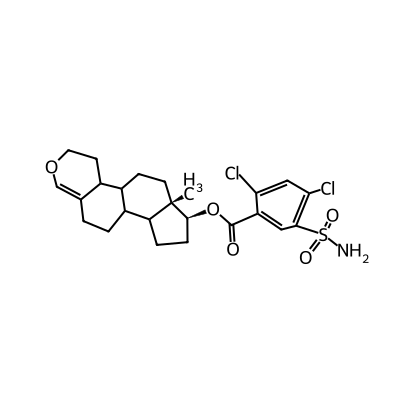 C[C@]12CCC3C4CCOC=C4CCC3C1CC[C@@H]2OC(=O)c1cc(S(N)(=O)=O)c(Cl)cc1Cl